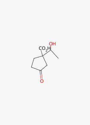 CC(O)C1(C(=O)O)CCC(=O)C1